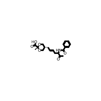 CC(=O)C(C/C=C/C[C@H]1CO[C@@](C)(C(=O)O)OC1)NC(=O)c1ccccc1